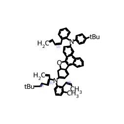 C=C/C=C\c1ccccc1N(c1ccc(C(C)(C)C)cc1)c1ccc2c3c(c4ccccc4c2c1)C1=CC=C(N(/C(C=C)=C/C=C/C(C)(C)C)c2cccc(C)c2/C=C\C)CC1O3